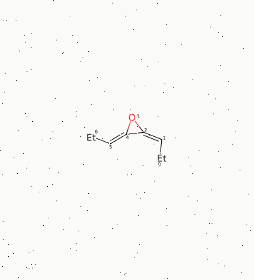 CCC=C1OC1=CCC